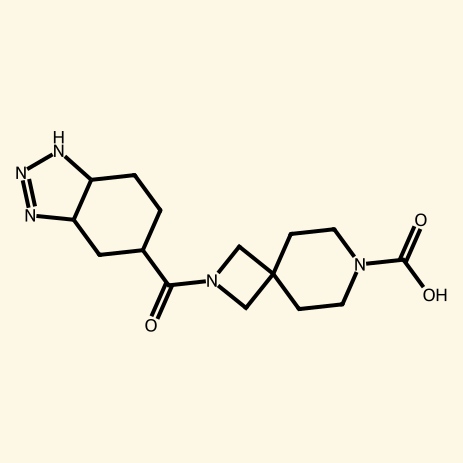 O=C(O)N1CCC2(CC1)CN(C(=O)C1CCC3NN=NC3C1)C2